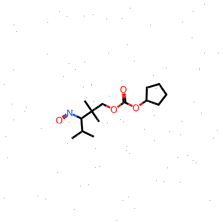 CC(C)C(N=O)C(C)(C)COC(=O)OC1CCCC1